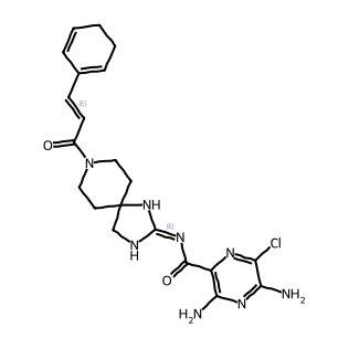 Nc1nc(N)c(C(=O)/N=C2\NCC3(CCN(C(=O)/C=C/C4=CCCC=C4)CC3)N2)nc1Cl